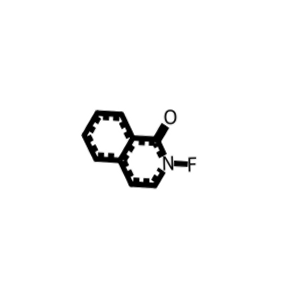 O=c1c2ccccc2ccn1F